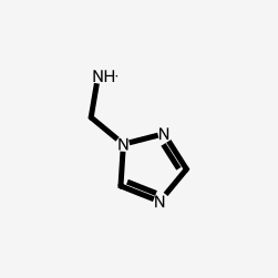 [NH]Cn1cncn1